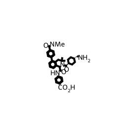 CNC(=O)c1ccc(-c2cccc3c2CC(C)(C)N(C(=O)[C@H]2CC[C@H](CN)CC2)C3C(=O)Nc2ccc(C(=O)O)cc2)cc1